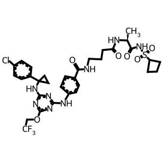 C[C@H](NC(=O)CCCNC(=O)c1ccc(Nc2nc(NC3(c4ccc(Cl)cc4)CC3)nc(OCC(F)(F)F)n2)cc1)C(=O)NS(=O)(=O)C1CCC1